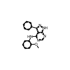 COc1ccccc1Nc1ncnc2[nH]nc(-c3ccccc3)c12